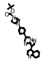 CC(C)(C)OC(=O)N1CC2CC1CN2c1ccc(-c2cnc3c(-c4ccnc5ccccc45)cnn3c2)cc1